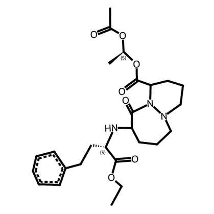 CCOC(=O)[C@H](CCc1ccccc1)NC1CCCN2CCCC(C(=O)O[C@@H](C)OC(C)=O)N2C1=O